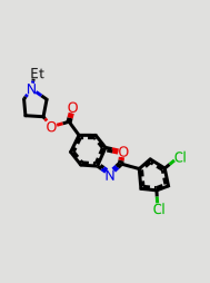 CCN1CCC(OC(=O)c2ccc3nc(-c4cc(Cl)cc(Cl)c4)oc3c2)C1